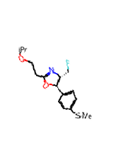 CSc1ccc([C@H]2OC(CCOC(C)C)=N[C@@H]2CF)cc1